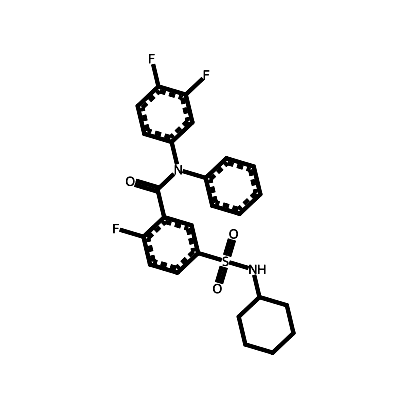 O=C(c1cc(S(=O)(=O)NC2CCCCC2)ccc1F)N(c1ccccc1)c1ccc(F)c(F)c1